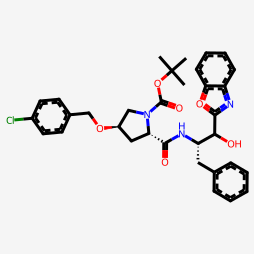 CC(C)(C)OC(=O)N1C[C@H](OCc2ccc(Cl)cc2)C[C@H]1C(=O)N[C@@H](Cc1ccccc1)C(O)c1nc2ccccc2o1